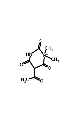 CC(=O)C1C(=O)NC(=S)[N+](C)(C)C1=O